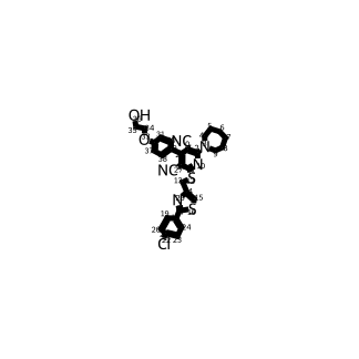 [C-]#[N+]c1c(N2CCCCCC2)nc(SCc2csc(-c3ccc(Cl)cc3)n2)c(C#N)c1-c1ccc(OCCO)cc1